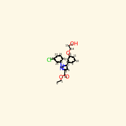 CCOC(=O)c1cc(-c2cccc(OCCO)c2)n(-c2cccc(Cl)c2)n1